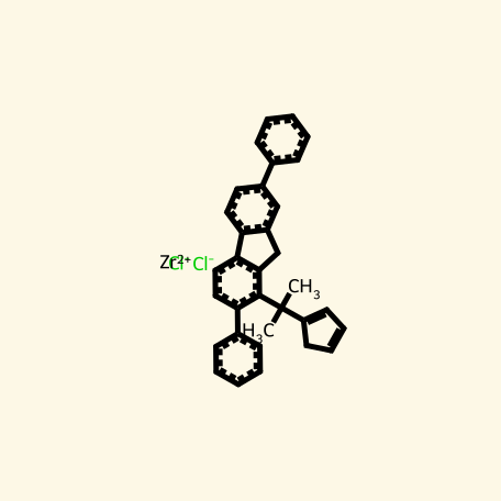 CC(C)(C1=CC=CC1)c1c(-c2ccccc2)ccc2c1Cc1cc(-c3ccccc3)ccc1-2.[Cl-].[Cl-].[Zr+2]